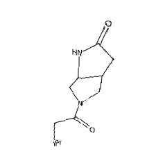 CC(C)CC(=O)N1CC2CC(=O)NC2C1